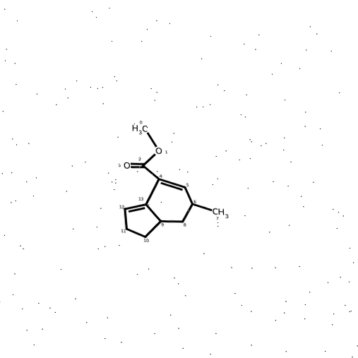 COC(=O)C1=CC(C)CC2CCC=C12